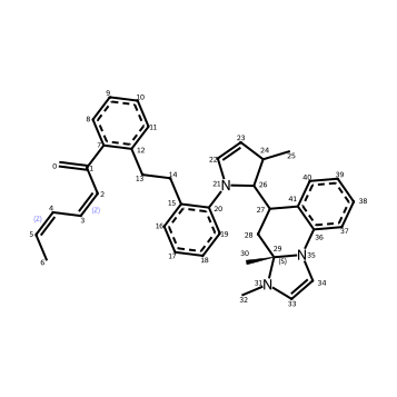 C=C(/C=C\C=C/C)c1ccccc1CCc1ccccc1N1C=CC(C)C1C1C[C@@]2(C)N(C)C=CN2c2ccccc21